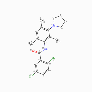 Cc1cc(C)c(N2CCCC2)c(C)c1NC(=O)c1cc(Cl)ccc1Br